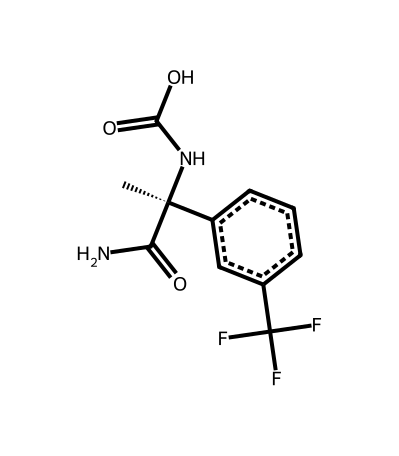 C[C@@](NC(=O)O)(C(N)=O)c1cccc(C(F)(F)F)c1